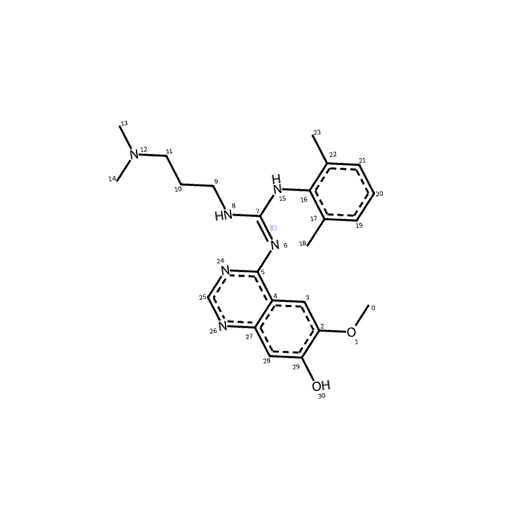 COc1cc2c(/N=C(\NCCCN(C)C)Nc3c(C)cccc3C)ncnc2cc1O